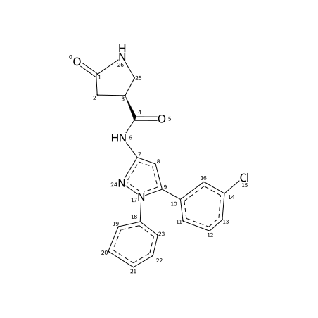 O=C1C[C@H](C(=O)Nc2cc(-c3cccc(Cl)c3)n(-c3ccccc3)n2)CN1